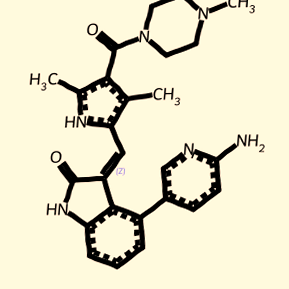 Cc1[nH]c(/C=C2\C(=O)Nc3cccc(-c4ccc(N)nc4)c32)c(C)c1C(=O)N1CCN(C)CC1